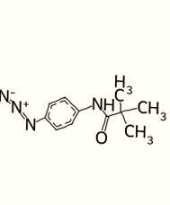 CC(C)(C)C(=O)Nc1ccc(N=[N+]=[N-])cc1